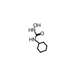 O=C(NO)NC1CCCCC1